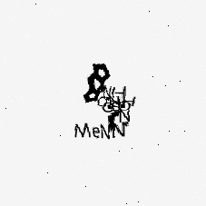 CNc1cc(S(=O)(=O)NC(=O)Nc2c3c(cc4c2CCC4)CCC3)ncn1